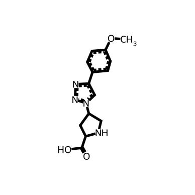 COc1ccc(-c2cn(C3CNC(C(=O)O)C3)nn2)cc1